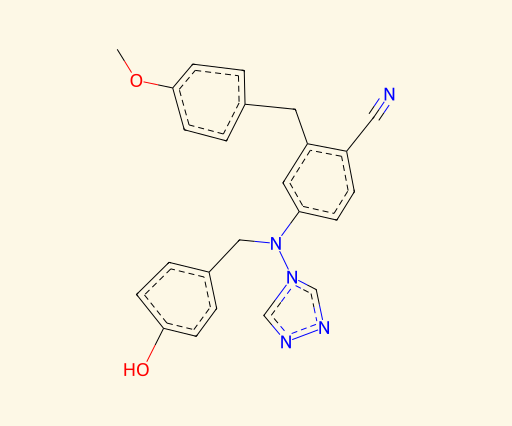 COc1ccc(Cc2cc(N(Cc3ccc(O)cc3)n3cnnc3)ccc2C#N)cc1